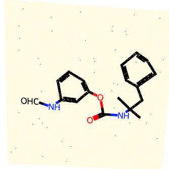 CC(C)(Cc1ccccc1)NC(=O)Oc1cccc(NC=O)c1